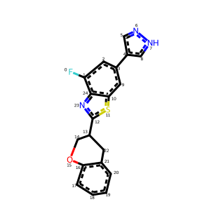 Fc1cc(-c2cn[nH]c2)cc2sc(C3COc4ccccc4C3)nc12